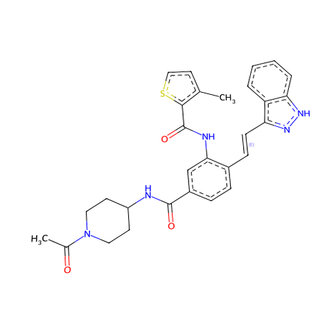 CC(=O)N1CCC(NC(=O)c2ccc(/C=C/c3n[nH]c4ccccc34)c(NC(=O)c3sccc3C)c2)CC1